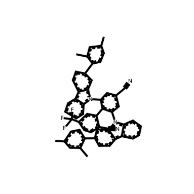 Cc1ccc(-c2ccc3c4ccccc4n(-c4cc(C#N)cc(-n5c6ccccc6c6ccc(-c7ccc(C)cc7C)cc65)c4-c4cc(C(F)(F)F)ccc4C#N)c3c2)c(C)c1